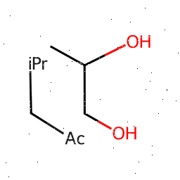 CC(=O)CC(C)C.CC(O)CO